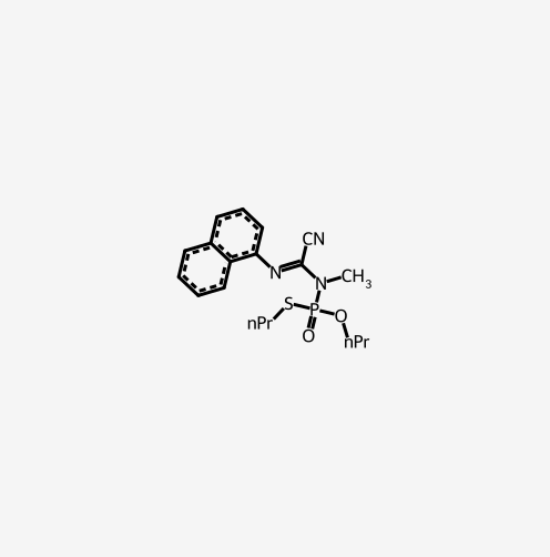 CCCOP(=O)(SCCC)N(C)C(C#N)=Nc1cccc2ccccc12